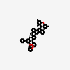 Cc1cc(C)c(B(c2c(C)cc(C)cc2C)c2cc3c4cccc5c4c(cc3c3ccccc23)-c2ccc(N(c3c(F)cc(-c4ccccc4)cc3-c3ccccc3)c3cccc4c3oc3ccccc34)cc2O5)c(C)c1